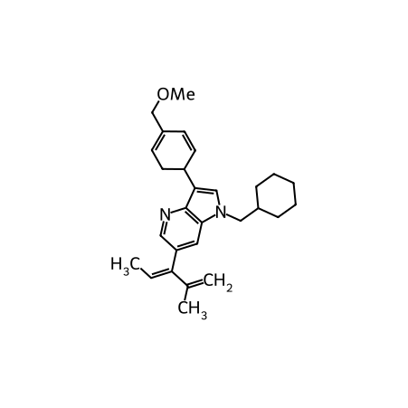 C=C(C)/C(=C/C)c1cnc2c(C3C=CC(COC)=CC3)cn(CC3CCCCC3)c2c1